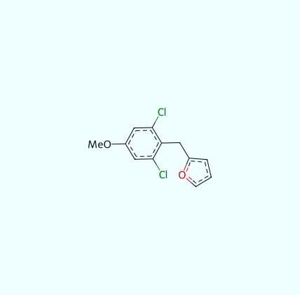 COc1cc(Cl)c(Cc2ccco2)c(Cl)c1